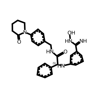 N=C(NO)c1cccc(N[C@H](C(=O)NCc2ccc(N3CCCCC3=O)cc2)c2ccccc2)c1